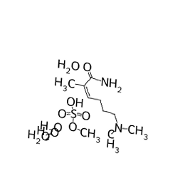 CC(=CCCCN(C)C)C(N)=O.COS(=O)(=O)O.O.O.O.O